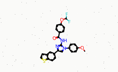 COc1ccc(-n2cc(-c3ccc4sccc4c3)nc2NC(=O)c2ccc(OC(F)F)cc2)cc1